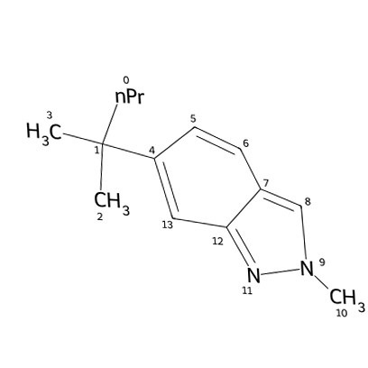 CCCC(C)(C)c1ccc2cn(C)nc2c1